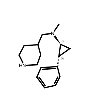 CN(CC1CCNCC1)[C@H]1C[C@@H]1c1ccccc1